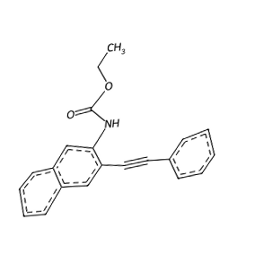 CCOC(=O)Nc1cc2ccccc2cc1C#Cc1ccccc1